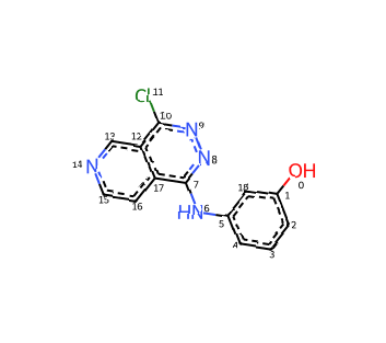 Oc1cccc(Nc2nnc(Cl)c3cnccc23)c1